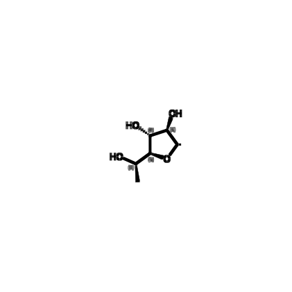 C[C@@H](O)[C@@H]1O[CH][C@H](O)[C@H]1O